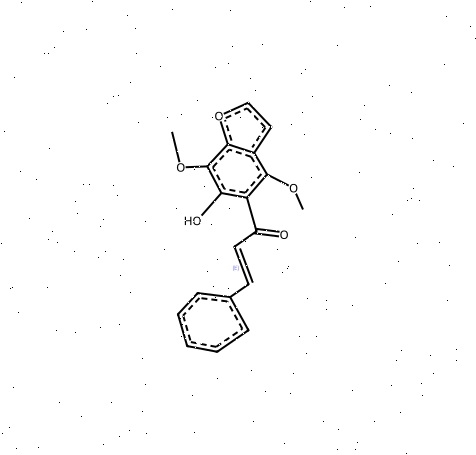 COc1c(C(=O)/C=C/c2ccccc2)c(O)c(OC)c2occc12